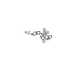 CCN1CC2CC(C1)c1cc(Nc3ncc(Cl)c(NC4C5C=CC(C5)C4OC(N)=O)n3)ccc12